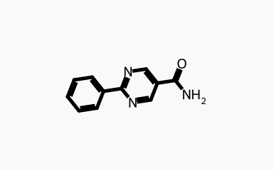 NC(=O)c1cnc(-c2ccccc2)nc1